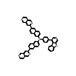 c1ccc2c(c1)oc1cncc(-c3ccc(N(c4ccc5cc(-c6cc7cnccc7cn6)ccc5c4)c4ccc5cc(-c6cc7cnccc7cn6)ccc5c4)cc3)c12